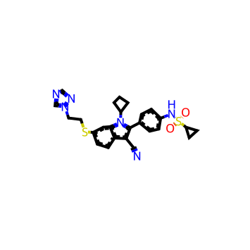 N#Cc1c(-c2ccc(NS(=O)(=O)C3CC3)cc2)n(C2CCC2)c2cc(SCCn3cncn3)ccc12